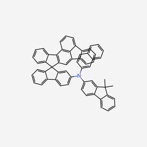 CC1(C)c2ccccc2-c2ccc(N(c3ccc4c(c3)C3(c5ccccc5-4)c4ccccc4-c4c3cc3c5c(cccc45)-c4ccccc4-3)c3ccc4ccccc4c3)cc21